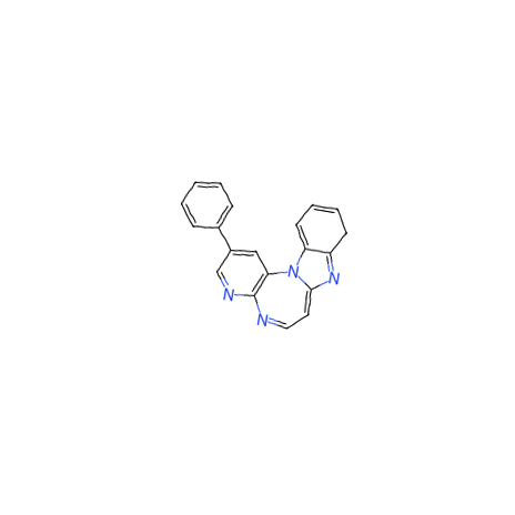 C1=CCc2nc3n(c2=C1)-c1cc(-c2ccccc2)cnc1N=CC=3